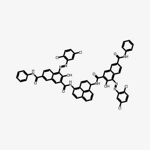 O=C(Nc1ccccc1)c1ccc2c(N=Nc3cc(Cl)ccc3Cl)c(O)c(C(=O)Nc3ccc4cccc5c4c3C=CC5NC(=O)c3cc4cc(C(=O)Nc5ccccc5)ccc4c(N=Nc4cc(Cl)ccc4Cl)c3O)cc2c1